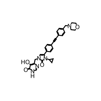 O=c1[nH]cnc(Cn2cc(-c3ccc(C#Cc4ccc(CN5CCOCC5)cc4)cc3)n(C3CC3)c2=O)c1O